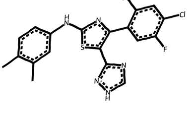 Cc1ccc(Nc2nc(-c3cc(F)c(Cl)cc3Cl)c(-c3nc[nH]n3)s2)cc1C